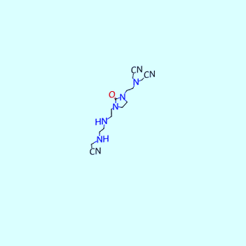 N#CCNCCNCCN1CCN(CCN(CC#N)CC#N)C1=O